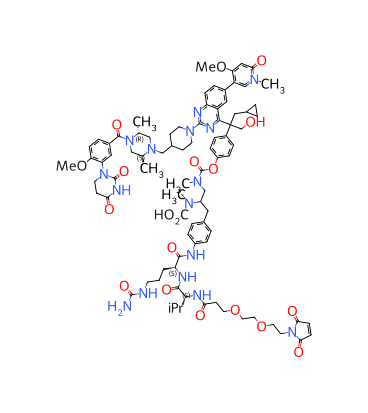 COc1cc(=O)n(C)cc1-c1ccc2nc(N3CCC(CN4C[C@@H](C)N(C(=O)c5ccc(OC)c(N6CCC(=O)NC6=O)c5)C[C@@H]4C)CC3)nc(C(CO)(CC3CC3)c3ccc(OC(=O)N(C)CC(Cc4ccc(NC(=O)[C@H](CCCNC(N)=O)NC(=O)[C@@H](NC(=O)CCOCCOCCN5C(=O)C=CC5=O)C(C)C)cc4)N(C)C(=O)O)cc3)c2c1